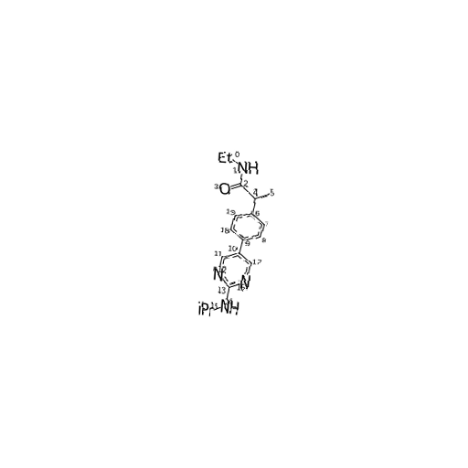 CCNC(=O)C(C)c1ccc(-c2cnc(NC(C)C)nc2)cc1